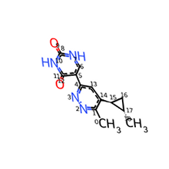 Cc1nnc(-c2c[nH]c(=O)[nH]c2=O)cc1[C@H]1C[C@@H]1C